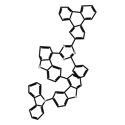 c1ccc(-c2nc(-c3ccc4c5ccccc5c5ccccc5c4c3)nc(-c3cccc4oc5ccc(-c6cccc7oc8ccc(-n9c%10ccccc%10c%10ccccc%109)cc8c67)cc5c34)n2)cc1